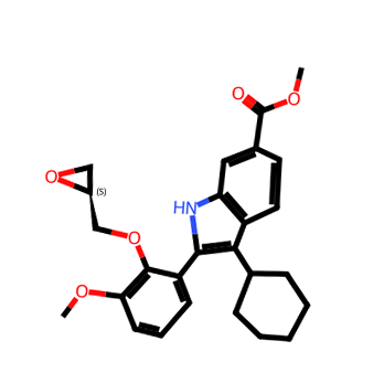 COC(=O)c1ccc2c(C3CCCCC3)c(-c3cccc(OC)c3OC[C@@H]3CO3)[nH]c2c1